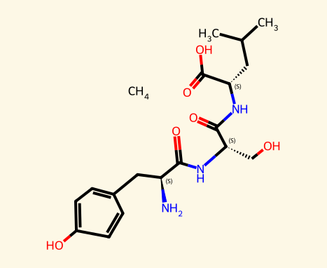 C.CC(C)C[C@H](NC(=O)[C@H](CO)NC(=O)[C@@H](N)Cc1ccc(O)cc1)C(=O)O